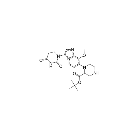 COc1c(N2CCNCC2C(=O)OC(C)(C)C)ccn2c(N3CCC(=O)NC3=O)cnc12